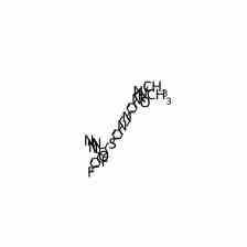 CC(C)n1ncn(-c2ccc(N3CCN(c4ccc(SCC5COC(Cn6cncn6)(c6ccc(F)cc6F)C5)cc4)CC3)cc2)c1=O